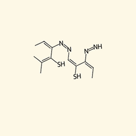 C/C=C(/N=N\C=C(S)/C(=C\C)N=N)C(S)=C(C)C